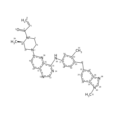 C=CC(=O)N1CCN(c2ccc3ncnc(Nc4ccc(Cc5ccc6c(c5)ncn6C)c(C)c4)c3n2)C[C@H]1C